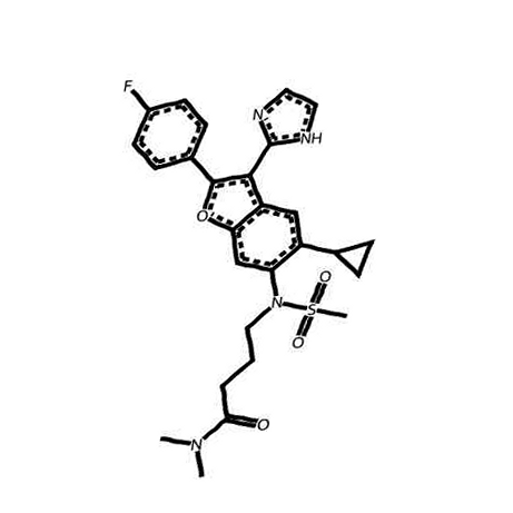 CN(C)C(=O)CCCN(c1cc2oc(-c3ccc(F)cc3)c(-c3ncc[nH]3)c2cc1C1CC1)S(C)(=O)=O